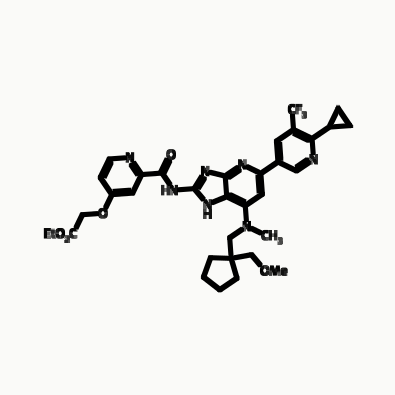 CCOC(=O)COc1ccnc(C(=O)Nc2nc3nc(-c4cnc(C5CC5)c(C(F)(F)F)c4)cc(N(C)CC4(COC)CCCC4)c3[nH]2)c1